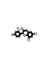 O=[N+]([O-])C1=Cc2cc(Cl)cc(Cl)c2OC1c1ccc(F)cc1